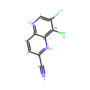 N#Cc1ccc2ncc(F)c(Cl)c2n1